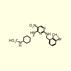 Cc1c(Br)cccc1CNc1ncc([N+](=O)[O-])c(NC[C@H]2CC[C@H](NC(=O)O)CC2)n1